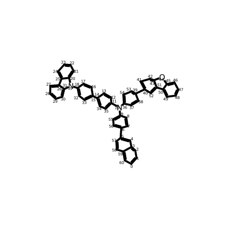 c1ccc2cc(-c3ccc(N(c4ccc(-c5ccc(-n6c7ccccc7c7ccccc76)cc5)cc4)c4ccc(-c5ccc6oc7ccccc7c6c5)cc4)cc3)ccc2c1